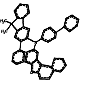 CC1(C)c2ccccc2-c2cc(N(c3ccc(-c4ccccc4)cc3)c3ccc4oc5ccc6ccccc6c5c4c3)c(-c3ccccc3)cc21